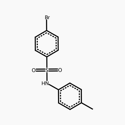 Cc1ccc(NS(=O)(=O)c2ccc(Br)cc2)cc1